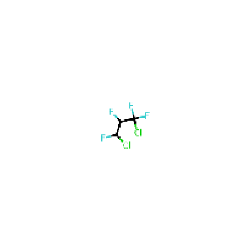 FC(Cl)C(F)C(F)(F)Cl